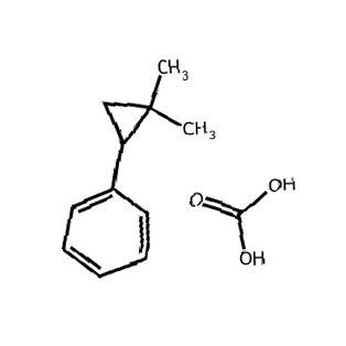 CC1(C)CC1c1ccccc1.O=C(O)O